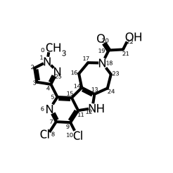 Cn1ccc(-c2nc(Cl)c(Cl)c3[nH]c4c(c23)CCN(C(=O)CO)CC4)n1